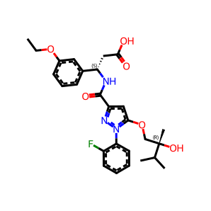 CCOc1cccc([C@H](CC(=O)O)NC(=O)c2cc(OC[C@](C)(O)C(C)C)n(-c3ccccc3F)n2)c1